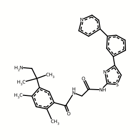 Cc1cc(C)c(C(C)(C)CN)cc1C(=O)NCC(=O)Nc1nc(-c2cccc(-c3ccncc3)c2)cs1